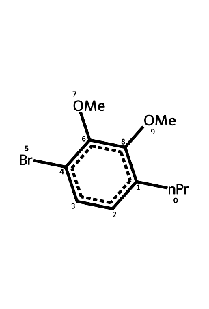 CCCc1ccc(Br)c(OC)c1OC